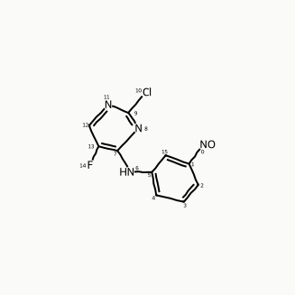 O=Nc1cccc(Nc2nc(Cl)ncc2F)c1